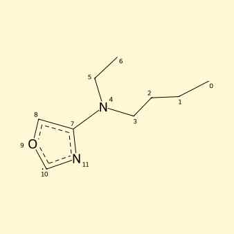 CCCCN(CC)c1co[c]n1